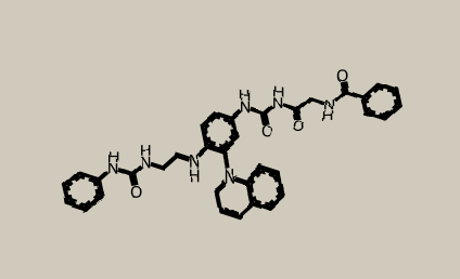 O=C(CNC(=O)c1ccccc1)NC(=O)Nc1ccc(NCCNC(=O)Nc2ccccc2)c(N2CC=Cc3ccccc32)c1